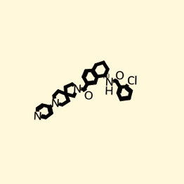 O=C(N[C@H]1CCCc2ccc(C(=O)N3CCC4(CCN(c5ccncc5)CC4)C3)cc21)c1ccccc1Cl